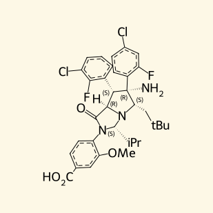 COc1cc(C(=O)O)ccc1N1C(=O)[C@H]2[C@H](c3cccc(Cl)c3F)[C@@](N)(c3ccc(Cl)cc3F)[C@H](CC(C)(C)C)N2[C@@H]1C(C)C